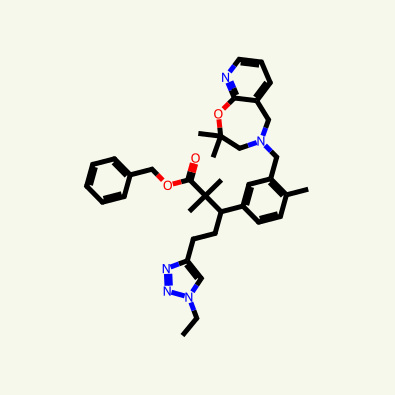 CCn1cc(CCC(c2ccc(C)c(CN3Cc4cccnc4OC(C)(C)C3)c2)C(C)(C)C(=O)OCc2ccccc2)nn1